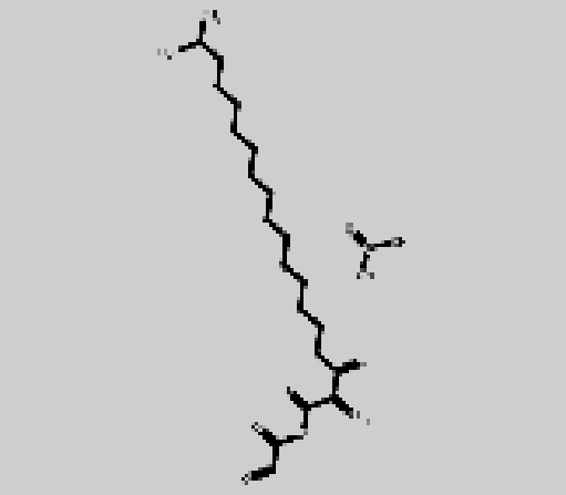 C=C(C(=O)CCCCCCCCCCCCCCC(C)C)C(=O)OC(=O)C=O.[O]=[Ti]([OH])[OH]